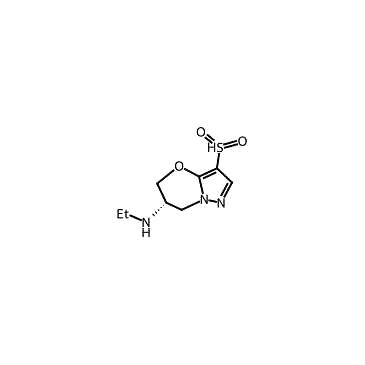 CCN[C@@H]1COc2c([SH](=O)=O)cnn2C1